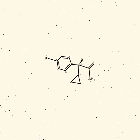 C=C(N)[C@@](C)(c1ccc(Br)cc1)C1CC1